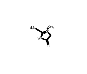 C[N+]1=C(N)NC(=O)C1